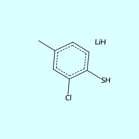 Cc1ccc(S)c(Cl)c1.[LiH]